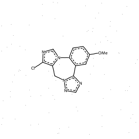 COc1ccc2c(c1)-c1ncnn1Cc1c(Cl)ncn1-2